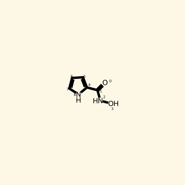 O=C(NO)c1ccc[nH]1